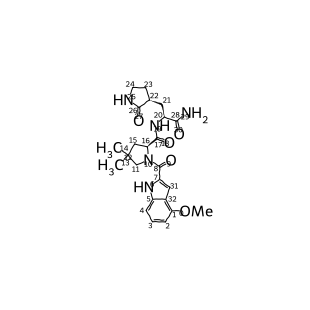 COc1cccc2[nH]c(C(=O)N3CC(C)(C)C[C@H]3C(=O)N[C@@H](C[C@@H]3CCNC3=O)C(N)=O)cc12